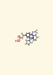 CC(C)CN(c1ccc([C@H](C)CC(=O)O)cc1NC1CCCC1)C1CCCCC1